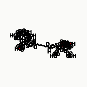 O=C(CCCCCCC(=O)Nc1ccc(S[C@@H]2O[C@H](COS(=O)(=O)O)[C@@H](O[C@H]3O[C@H](COS(=O)(=O)O)[C@@H](OS(=O)(=O)O)[C@H](OS(=O)(=O)O)[C@H]3OS(=O)(=O)O)[C@H](OS(=O)(=O)O)[C@H]2OS(=O)(=O)O)cc1)Nc1ccc(S[C@@H]2O[C@H](COS(=O)(=O)O)[C@@H](O[C@H]3O[C@H](COS(=O)(=O)O)[C@@H](OS(=O)(=O)O)[C@H](OS(=O)(=O)O)[C@H]3OS(=O)(=O)O)[C@H](OS(=O)(=O)O)[C@H]2OS(=O)(=O)O)cc1